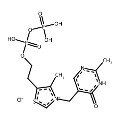 Cc1ncc(C[n+]2csc(CCOP(=O)(O)OP(=O)(O)O)c2C)c(=O)[nH]1.[Cl-]